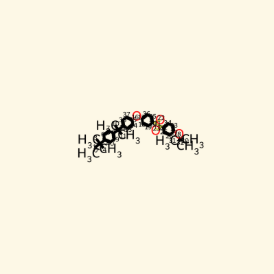 CCC(C)(C)c1ccc(C(C)(C)c2ccc(Oc3ccc(S(=O)(=O)c4ccc(OC(C)(C)C)cc4)cc3)cc2)cc1